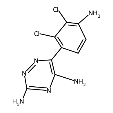 Nc1nnc(-c2ccc(N)c(Cl)c2Cl)c(N)n1